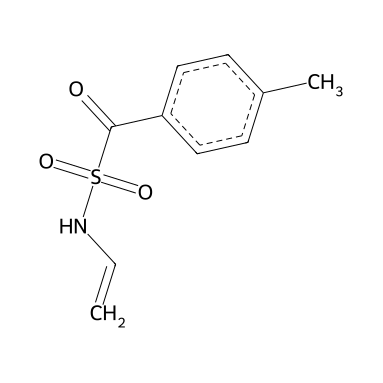 C=CNS(=O)(=O)C(=O)c1ccc(C)cc1